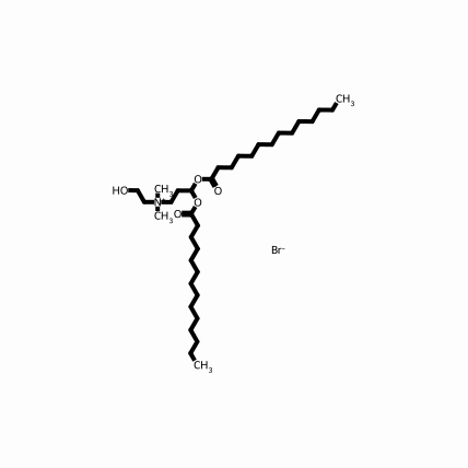 CCCCCCCCCCCCCC(=O)OC(CC[N+](C)(C)CCO)OC(=O)CCCCCCCCCCCCC.[Br-]